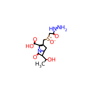 CC(O)C1C(=O)N2C(C(=O)O)=C(C[S+]([O-])CC(=O)NN)CC12